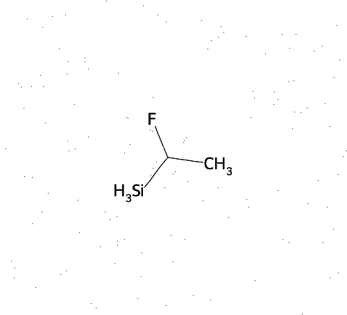 CC(F)[SiH3]